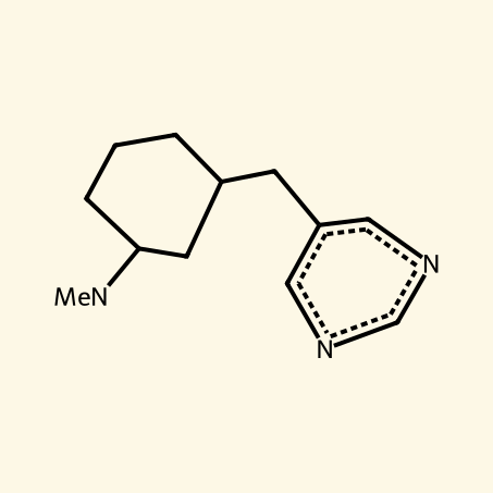 CNC1CCCC(Cc2cncnc2)C1